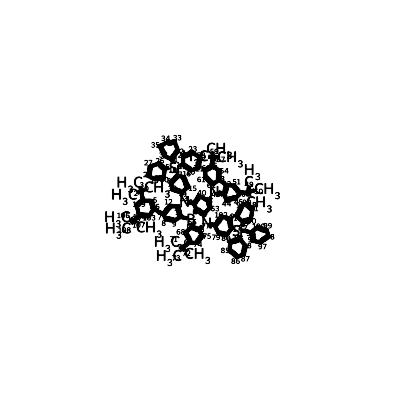 CC(C)(C)c1cc(-c2ccc3c(c2)N(c2ccc([Si](c4ccccc4)(c4ccccc4)c4ccccc4)cc2)c2cc(-n4c5ccc(C(C)(C)C)cc5c5cc(C(C)(C)C)ccc54)cc4c2B3c2cc(C(C)(C)C)ccc2N4c2ccc([Si](c3ccccc3)(c3ccccc3)c3ccccc3)cc2)cc(C(C)(C)C)c1